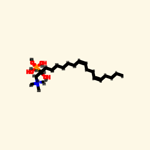 CCCC/C=C\CC/C=C\CCCCCCC(O)(C[N+](C)(C)C)P(=O)(O)O